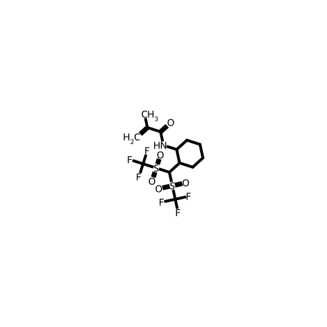 C=C(C)C(=O)NC1CCCCC1C(S(=O)(=O)C(F)(F)F)S(=O)(=O)C(F)(F)F